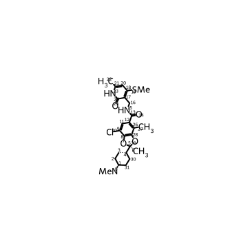 CN[C@H]1CC[C@H]([C@@]2(C)Oc3c(Cl)cc(C(=O)NCc4c(SC)cc(C)[nH]c4=O)c(C)c3O2)CC1